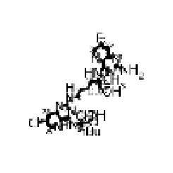 CCCC[C@](C)(CO)Nc1nc(NCCCC[C@](C)(CO)Nc2nc(N)nc3cc(F)cnc23)nc2cc(Cl)cnc12